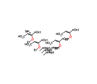 CCCCCCCC.CCCCCCCC.CCCCCCCC.CCCCCCCC.CCCCCCCCC(=CC(=O)O)OCC.CCCCCCCCC(=CC(=O)O)OCC.CCCCCCCCC(=CC(=O)O)OCC.CCCCCCCCC(=CC(=O)O)OCC.[SiH4]